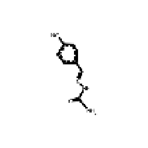 N#Cc1ccc(C=NNC(N)=O)cc1